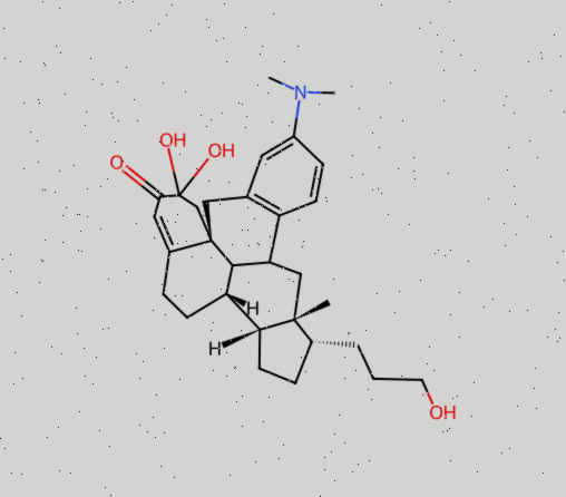 CN(C)c1ccc2c(c1)C[C@]13CC(O)(O)C(=O)C=C1CC[C@@H]1C3C2C[C@]2(C)[C@H](CCCO)CC[C@H]12